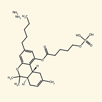 CCCCCc1cc(OC(=O)CCCCOP(=O)(O)O)c2c(c1)OC(C)(C)[C@@H]1CC=C(C)C[C@@H]21.N.N